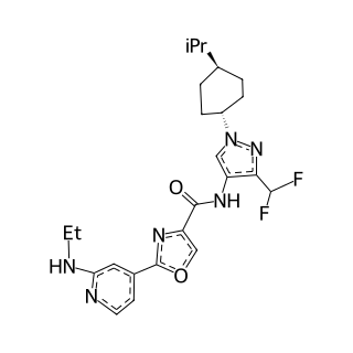 CCNc1cc(-c2nc(C(=O)Nc3cn([C@H]4CC[C@H](C(C)C)CC4)nc3C(F)F)co2)ccn1